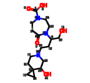 O=C(O)N1CCC(=O)N(C(CO)CCN2CCC3(CC3)C(O)C2)CC1